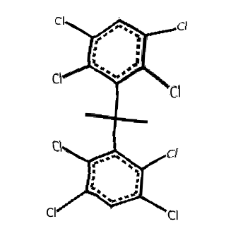 CC(C)(c1c(Cl)c(Cl)[c]c(Cl)c1Cl)c1c(Cl)c(Cl)[c]c(Cl)c1Cl